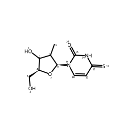 CC1C(O)[C@H](CO)O[C@@H]1n1ccc(=S)[nH]c1=O